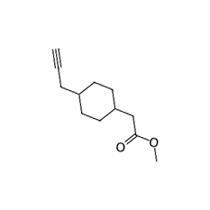 C#CCC1CCC(CC(=O)OC)CC1